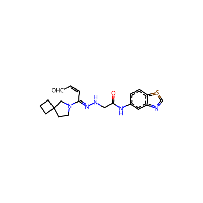 O=C/C=C\C(=N/NCC(=O)Nc1ccc2scnc2c1)N1CCC2(CCC2)C1